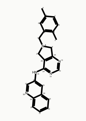 Cc1ccc(C)c(CN2Cc3ncnc(Nc4cnc5ccccc5c4)c3C2)c1